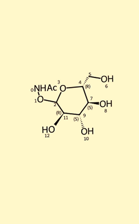 CC(=O)NOC1O[C@H](CO)[C@@H](O)[C@H](O)[C@H]1O